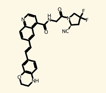 N#C[C@@H]1CC(F)(F)CN1C(=O)CNC(=O)c1ccnc2ccc(/C=C/c3ccc4c(c3)OCCN4)cc12